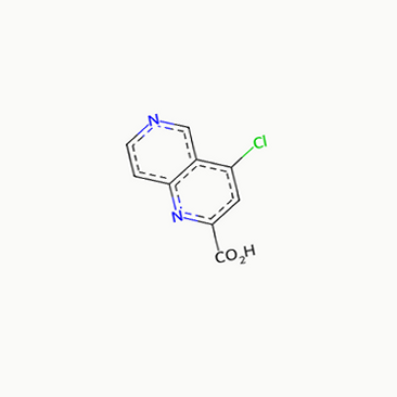 O=C(O)c1cc(Cl)c2cnccc2n1